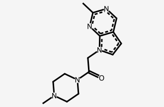 Cc1ncc2ccn(CC(=O)N3CCN(C)CC3)c2n1